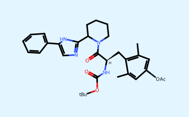 CC(=O)Oc1cc(C)c(C[C@@H](NC(=O)OC(C)(C)C)C(=O)N2CCCCC2c2ncc(-c3ccccc3)[nH]2)c(C)c1